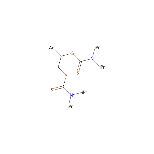 CC(=O)C(CSC(=S)N(C(C)C)C(C)C)SC(=S)N(C(C)C)C(C)C